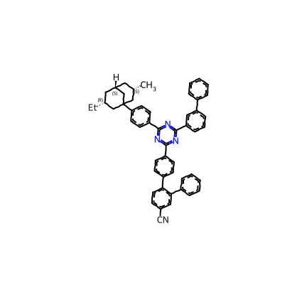 CC[C@@H]1C[C@@H]2C[C@H](C)CC(c3ccc(-c4nc(-c5ccc(-c6ccc(C#N)cc6-c6ccccc6)cc5)nc(-c5cccc(-c6ccccc6)c5)n4)cc3)(C1)C2